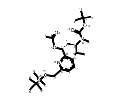 CC(=O)O[C@H](C[C@H](C(C)C)N(C)C(=O)OC(C)(C)C)c1cccc(CO[Si](C)(C)C(C)(C)C)n1